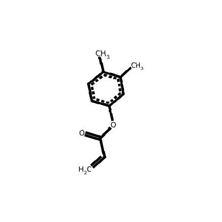 C=CC(=O)Oc1ccc(C)c(C)c1